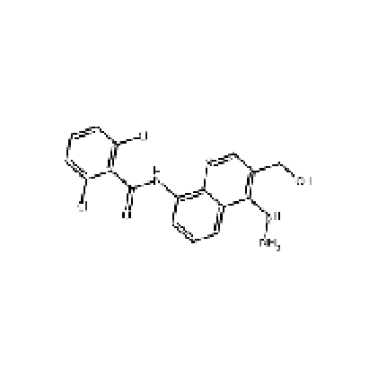 NNc1c(CO)cnc2c(NC(=O)c3c(Cl)cccc3Cl)cccc12